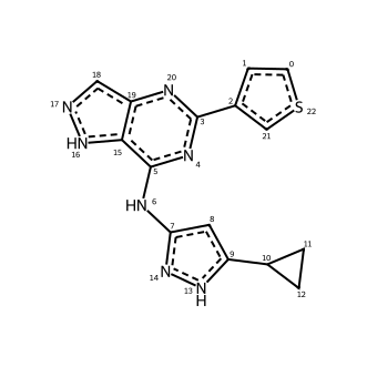 c1cc(-c2nc(Nc3cc(C4CC4)[nH]n3)c3[nH]ncc3n2)cs1